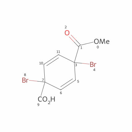 COC(=O)C1(Br)C=CC(Br)(C(=O)O)C=C1